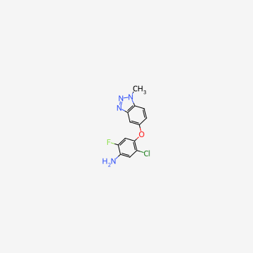 Cn1nnc2cc(Oc3cc(F)c(N)cc3Cl)ccc21